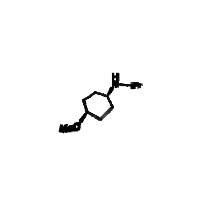 CO[C@H]1CC[C@@H](NC(C)C)CC1